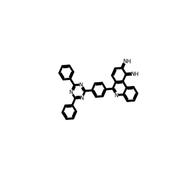 N=C1C=Cc2c(-c3ccc(-c4nc(-c5ccccc5)nc(-c5ccccc5)n4)cc3)nc3ccccc3c2C1=N